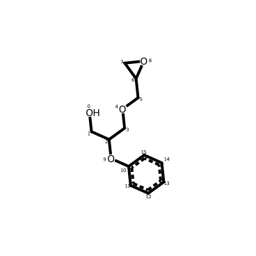 OCC(COCC1CO1)Oc1ccccc1